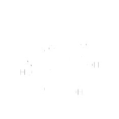 CC1C(O)=CC(C(=O)O)(c2nccs2)C(=O)C1(C(=O)O)c1ccccc1